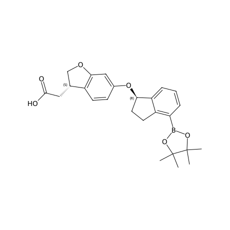 CC1(C)OB(c2cccc3c2CC[C@H]3Oc2ccc3c(c2)OC[C@H]3CC(=O)O)OC1(C)C